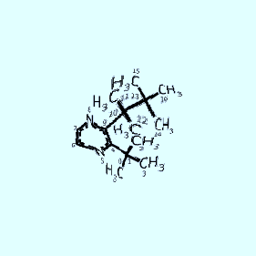 CC(C)(C)c1nccnc1C(C)(C)C(C)(C)C